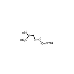 CCCCCOOCCC(CCCC)C(=O)O